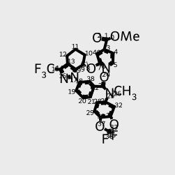 COC(=O)c1ccnc(O[C@H]2CCCc3c(C(F)(F)F)nn(-c4cccc(C(=O)N(C)c5ccc6c(c5)OC(F)(F)O6)c4)c32)c1